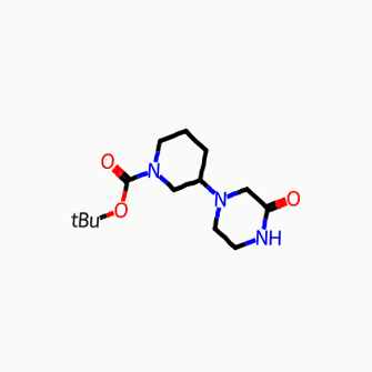 CC(C)(C)OC(=O)N1CCCC(N2CCNC(=O)C2)C1